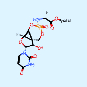 CCCCOC(=O)[C@@H](C)N[P@]1(=O)OC[C@]23C(O1)[C@H]2O[C@@H](n1ccc(=O)[nH]c1=O)[C@@H]3O